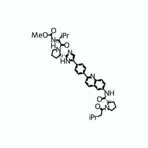 COC(=O)N[C@H](C(=O)N1CCC[C@H]1c1ncc(-c2ccc(-c3ccc4cc(NC(=O)[C@@H]5CCCN5C(=O)CC(C)C)ccc4n3)cc2)[nH]1)C(C)C